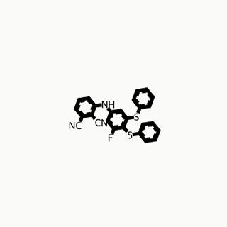 N#Cc1cccc(Nc2cc(F)c(Sc3ccccc3)c(Sc3ccccc3)c2)c1C#N